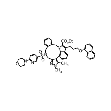 CCOC(=O)c1c(CCCOc2cccc3ccccc23)c2cccc3c2n1Cc1ccccc1CN(S(=O)(=O)c1ccc(N2CCOCC2)nc1)Cc1nn(C)c(C)c1-3